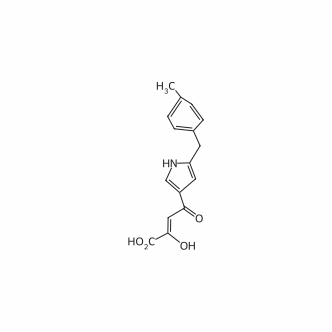 Cc1ccc(Cc2cc(C(=O)/C=C(\O)C(=O)O)c[nH]2)cc1